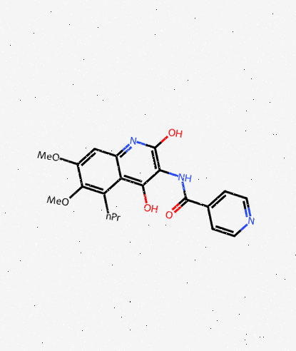 CCCc1c(OC)c(OC)cc2nc(O)c(NC(=O)c3ccncc3)c(O)c12